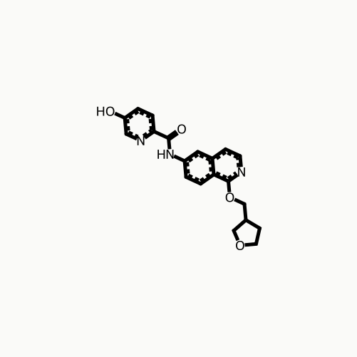 O=C(Nc1ccc2c(OCC3CCOC3)nccc2c1)c1ccc(O)cn1